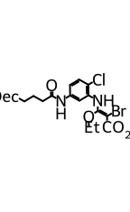 CCCCCCCCCCCCCC(=O)Nc1ccc(Cl)c(NC(OCC)=C(Br)C(=O)OCC)c1